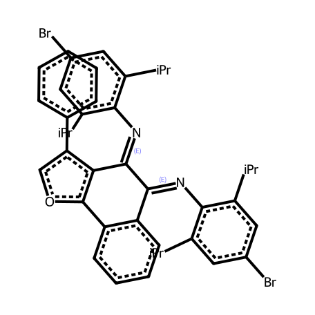 CC(C)c1cc(Br)cc(C(C)C)c1/N=C1/C(=N/c2c(C(C)C)cc(Br)cc2C(C)C)c2c(-c3ccccc3)coc2-c2ccccc21